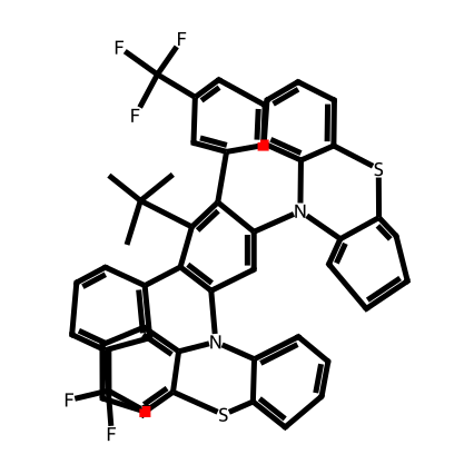 CC(C)(C)c1c(-c2cccc(C(F)(F)F)c2)c(N2c3ccccc3Sc3ccccc32)cc(N2c3ccccc3Sc3ccccc32)c1-c1cccc(C(F)(F)F)c1